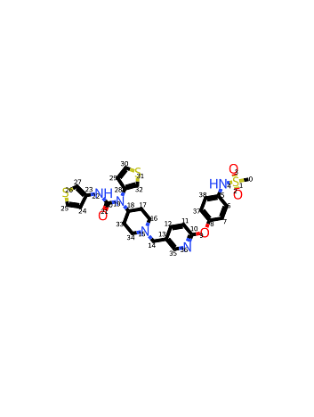 CS(=O)(=O)Nc1ccc(Oc2ccc(CN3CCC(N(C(=O)Nc4ccsc4)c4ccsc4)CC3)cn2)cc1